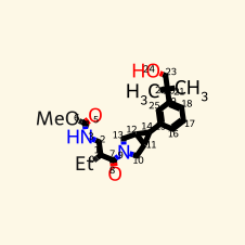 CCC(CNC(=O)OC)C(=O)N1CC2C(C1)C2c1cccc(C(C)(C)CO)c1